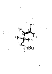 CCCCOC(F)(F)C(F)=C(F)F